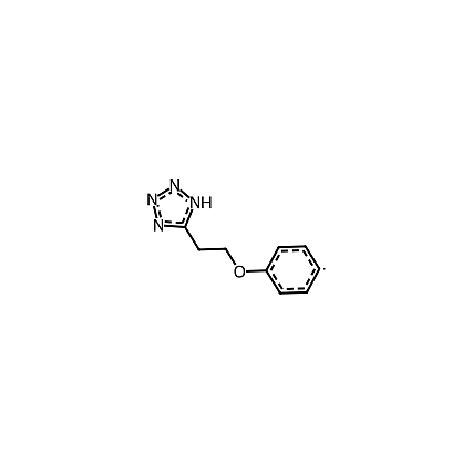 [c]1ccc(OCCc2nnn[nH]2)cc1